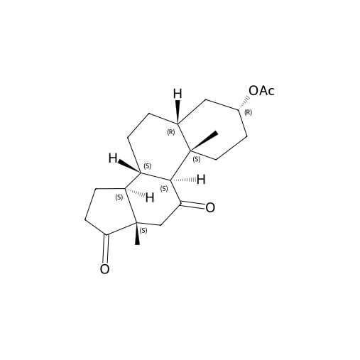 CC(=O)O[C@@H]1CC[C@@]2(C)[C@H](CC[C@@H]3[C@@H]2C(=O)C[C@]2(C)C(=O)CC[C@@H]32)C1